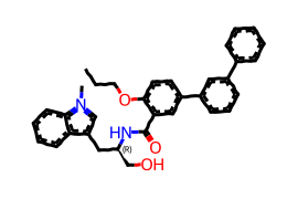 CCCOc1ccc(-c2cccc(-c3ccccc3)c2)cc1C(=O)N[C@@H](CO)Cc1cn(C)c2ccccc12